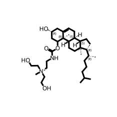 CC(C)CCC[C@@H](C)[C@H]1CC[C@H]2[C@@H]3CC=C4C[C@@H](O)CC(OC(=O)NCC[N+](C)(CCO)CCO)[C@]4(C)[C@H]3CC[C@]12C